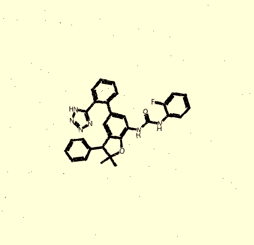 CC1(C)Oc2c(NC(=O)Nc3ccccc3F)cc(-c3ccccc3-c3nnn[nH]3)cc2C1c1ccccc1